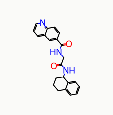 O=C(CNC(=O)c1ccc2ncccc2c1)NC1CCCc2ccccc21